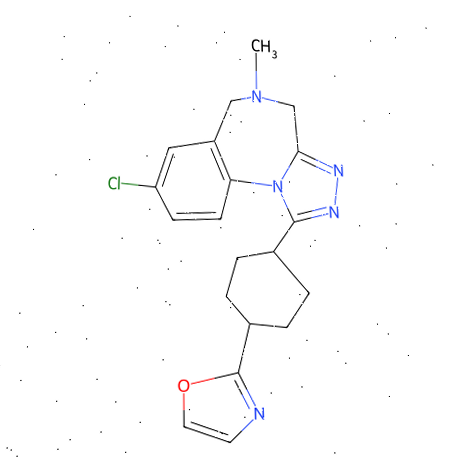 CN1Cc2cc(Cl)ccc2-n2c(nnc2C2CCC(c3ncco3)CC2)C1